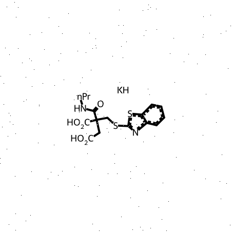 CCCNC(=O)C(CSc1nc2ccccc2s1)(CC(=O)O)C(=O)O.[KH]